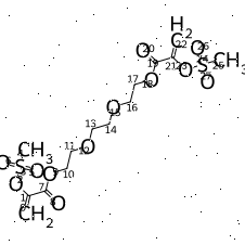 C=C(OS(C)(=O)=O)C(=O)OCCOCCOCCOC(=O)C(=C)OS(C)(=O)=O